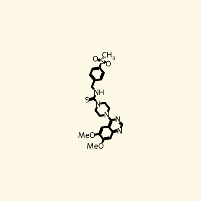 COc1cc2ncnc(N3CCN(C(=S)NCc4ccc(S(C)(=O)=O)cc4)CC3)c2cc1OC